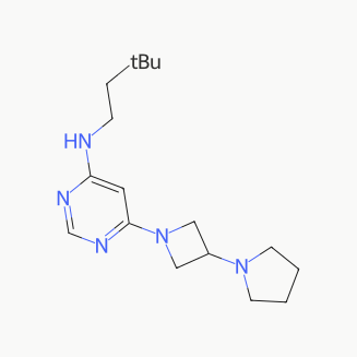 CC(C)(C)CCNc1cc(N2CC(N3CCCC3)C2)ncn1